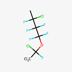 CC(F)(Cl)C(F)(F)C(F)(F)OC(F)(Cl)C(Cl)(Cl)Cl